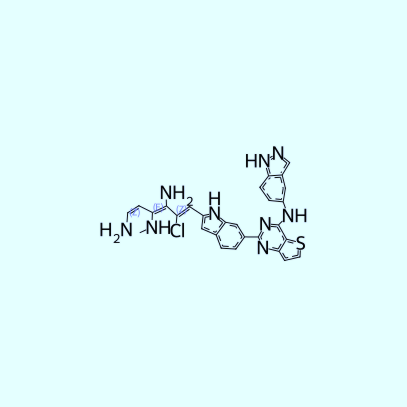 CNC(/C=C\N)=C(N)\C(Cl)=C\c1cc2ccc(-c3nc(Nc4ccc5[nH]ncc5c4)c4sccc4n3)cc2[nH]1